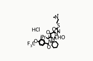 CC(C)CC(C(=O)c1nnc(SCCN(C)C)o1)N(C=O)C1(NC(=O)c2ccc(OC(F)(F)F)cc2)CCCCC1.Cl